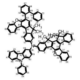 CC1(C)c2cc(N(c3ccc4c(c3)C(C)(C)c3c5c(c6c(oc7ccccc76)c3-4)-c3ccccc3C5(C)C)c3ccc4c(c3)c3ccccc3n4-c3ccccc3)ccc2-c2c1cc(-c1ccccc1-c1ccccc1)c1oc3ccccc3c21